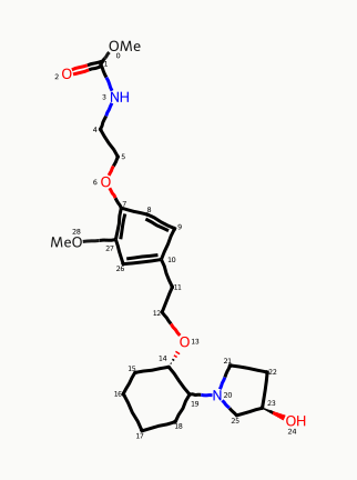 COC(=O)NCCOc1ccc(CCO[C@H]2CCCCC2N2CC[C@@H](O)C2)cc1OC